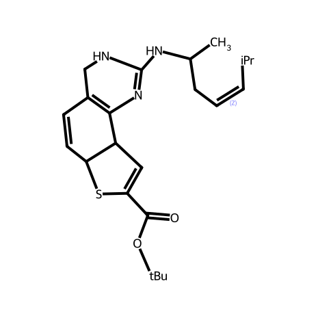 CC(C)/C=C\CC(C)NC1=NC2=C(C=CC3SC(C(=O)OC(C)(C)C)=CC23)CN1